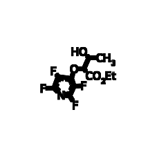 CCOC(=O)C(Oc1c(F)c(F)nc(F)c1F)C(C)O